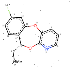 CNC[C@H]1Oc2ncccc2Oc2cc(F)ccc21